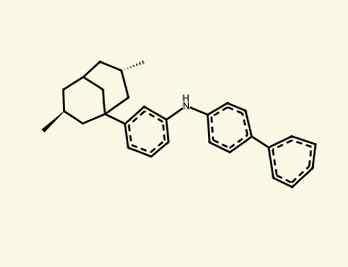 C[C@H]1CC2C[C@H](C)CC(c3cccc(Nc4ccc(-c5ccccc5)cc4)c3)(C2)C1